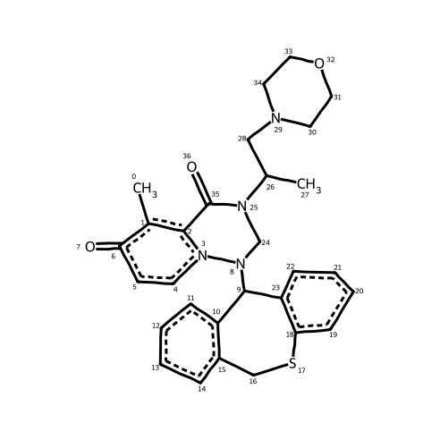 Cc1c2n(ccc1=O)N(C1c3ccccc3CSc3ccccc31)CN(C(C)CN1CCOCC1)C2=O